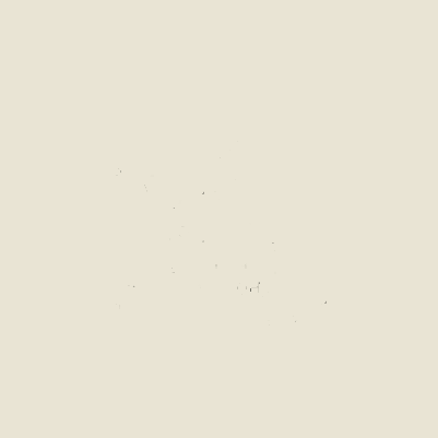 CCCCOc1cc(C(=O)c2ccccc2)c(O)c(OCCCC)c1OCCCC